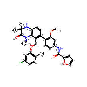 COc1cc(NC(=O)c2ccco2)ccc1-c1ccc2c(c1COc1cc(F)ccc1C)N(C)C(=O)C(C)(C)N2